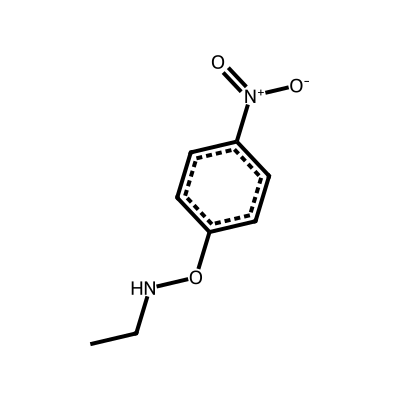 CCNOc1ccc([N+](=O)[O-])cc1